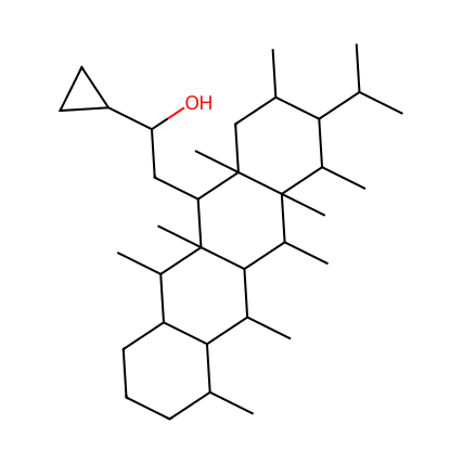 CC(C)C1C(C)CC2(C)C(CC(O)C3CC3)C3(C)C(C)C4CCCC(C)C4C(C)C3C(C)C2(C)C1C